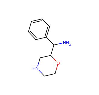 NC(c1ccccc1)C1CNCCO1